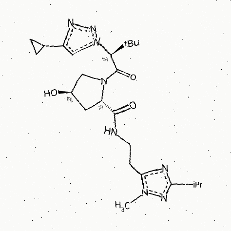 CC(C)c1nc(CCNC(=O)[C@@H]2C[C@@H](O)CN2C(=O)[C@@H](n2cc(C3CC3)nn2)C(C)(C)C)n(C)n1